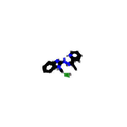 CC(=NNc1nc2ccccc2n1C)c1ccccn1.Cl